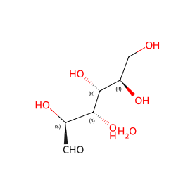 O.O=C[C@@H](O)[C@@H](O)[C@H](O)[C@H](O)CO